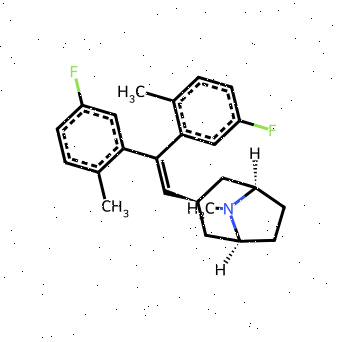 Cc1ccc(F)cc1C(=C[C@H]1C[C@H]2CC[C@@H](C1)N2C)c1cc(F)ccc1C